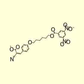 COC(=O)C(C#N)=Cc1ccc(OCCCCCCOC(=O)c2cc([N+](=O)[O-])cc([N+](=O)[O-])c2)cc1